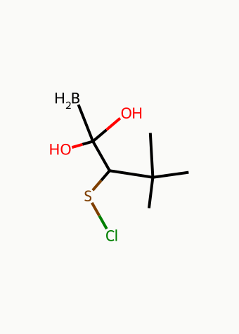 BC(O)(O)C(SCl)C(C)(C)C